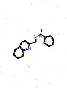 C[C@H](/N=C/c1ccc2ccccc2n1)c1ccccc1